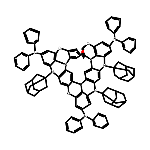 c1ccc(N(c2ccccc2)c2cc3c4c(c2)N(C25CC6CC(CC(C6)C2)C5)c2cc5c(cc2B4c2ccccc2O3)B2c3cc4c(cc3N(C36CC7CC(CC(C7)C3)C6)c3cc(N(c6ccccc6)c6ccccc6)cc(c32)O5)N(C23CC5CC(CC(C5)C2)C3)c2cc(N(c3ccccc3)c3ccccc3)cc3c2B4c2ccccc2O3)cc1